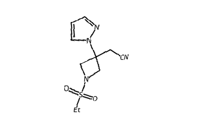 CCS(=O)(=O)N1CC(CC#N)(n2cccn2)C1